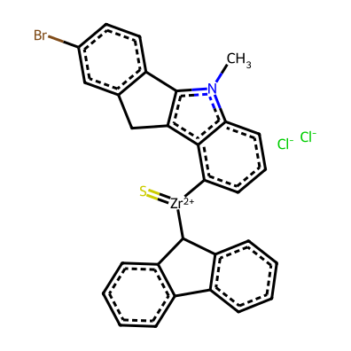 Cn1c2c(c3[c]([Zr+2](=[S])[CH]4c5ccccc5-c5ccccc54)cccc31)Cc1cc(Br)ccc1-2.[Cl-].[Cl-]